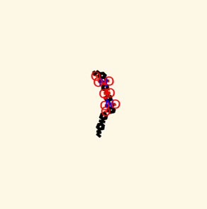 CCC(C)(C)c1ccc(C(C)(C)c2ccc(Oc3cccc4c3C(=O)N(c3ccc(S(=O)(=O)c5ccc(N6C(=O)c7ccc8c(c7C6=O)OC(C)(C)C8)cc5)cc3)C4=O)cc2)cc1